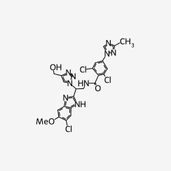 COc1cc2nc(C(CNC(=O)c3c(Cl)cc(-n4cnc(C)n4)cc3Cl)n3cc(CO)nn3)[nH]c2cc1Cl